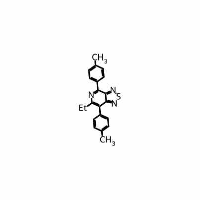 CCc1nc(-c2ccc(C)cc2)c2nsnc2c1-c1ccc(C)cc1